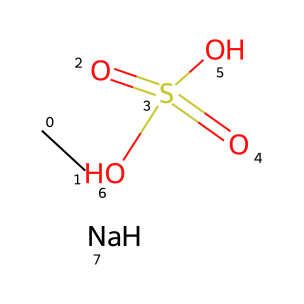 CC.O=S(=O)(O)O.[NaH]